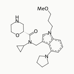 COCCCn1cc(CN(C(=O)[C@H]2CNCCO2)C2CC2)c2c(N3CCCC3)cccc21